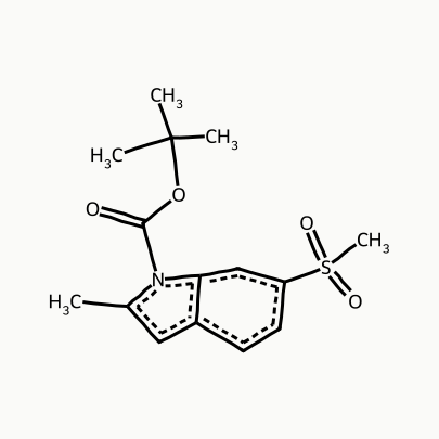 Cc1cc2ccc(S(C)(=O)=O)cc2n1C(=O)OC(C)(C)C